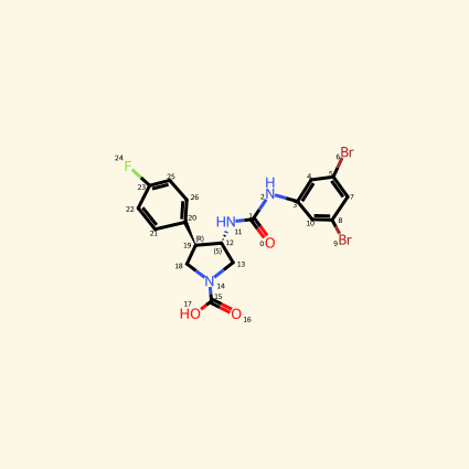 O=C(Nc1cc(Br)cc(Br)c1)N[C@@H]1CN(C(=O)O)C[C@H]1c1ccc(F)cc1